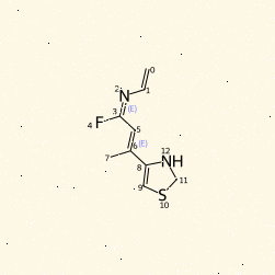 C=C/N=C(F)\C=C(/C)C1=CSCN1